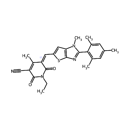 CCN1C(=O)C(C#N)=C(C)/C(=C/c2cc3c(nc(-c4c(C)cc(C)cc4C)n3C)s2)C1=O